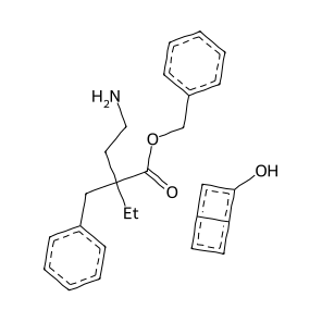 CCC(CCN)(Cc1ccccc1)C(=O)OCc1ccccc1.Oc1cc2ccc1-2